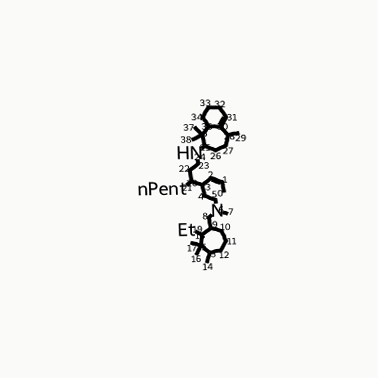 C/C=C\C(CCN(C)CC1CCCC(C)C(C)(C)C1CC)C(CCCCC)CCNC1CCC(C)C2=CCCCC2C1(C)C